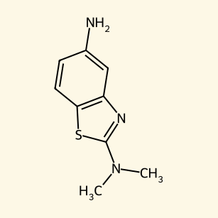 CN(C)c1nc2cc(N)ccc2s1